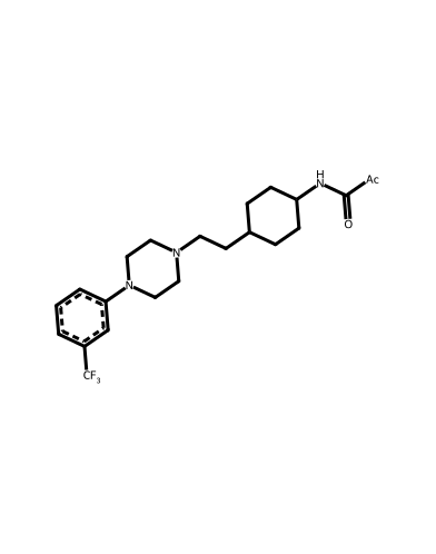 CC(=O)C(=O)NC1CCC(CCN2CCN(c3cccc(C(F)(F)F)c3)CC2)CC1